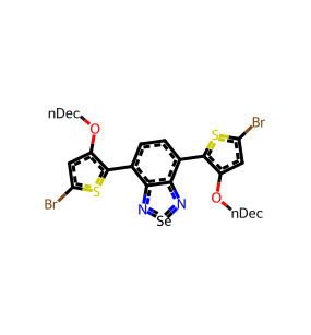 CCCCCCCCCCOc1cc(Br)sc1-c1ccc(-c2sc(Br)cc2OCCCCCCCCCC)c2n[se]nc12